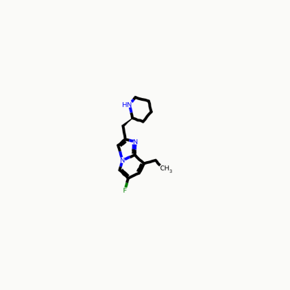 CCc1cc(F)cn2cc(C[C@@H]3CCCCN3)nc12